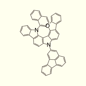 c1ccc2c(c1)-c1cccc3cc(-n4c5ccc6c7ccccc7oc6c5c5c4ccc4c6ccccc6n(-c6cccc7ccccc67)c45)cc-2c13